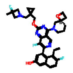 CCc1c(F)ccc2cc(O)cc(-c3ncc4c(N5CCC[C@]6(CCO6)C5)nc(OCC5(CN6CC(C)(F)C6)CC5)nc4c3F)c12